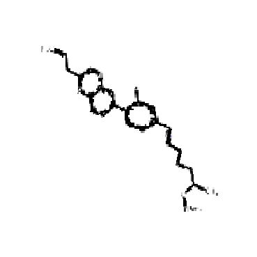 C=CCc1cnc2cc(-c3ccc(/C=C/CCCC(C)OCCCCC)cc3F)ccc2n1